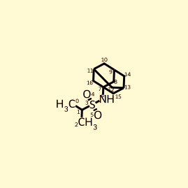 CC(C)S(=O)(=O)NC12CC3CC(CC(C3)C1)C2